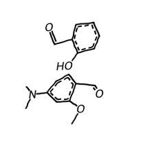 COc1cc(N(C)C)ccc1C=O.O=Cc1ccccc1O